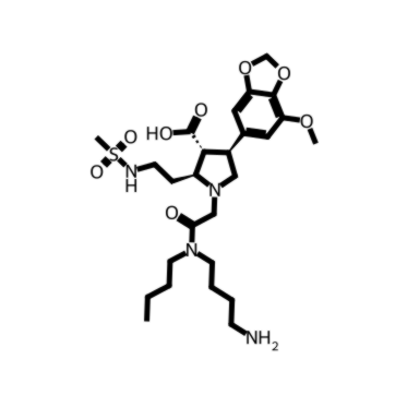 CCCCN(CCCCN)C(=O)CN1C[C@H](c2cc(OC)c3c(c2)OCO3)[C@@H](C(=O)O)[C@@H]1CCNS(C)(=O)=O